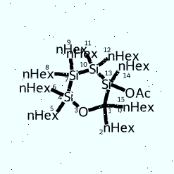 CCCCCCC1(CCCCCC)O[Si](CCCCCC)(CCCCCC)[Si](CCCCCC)(CCCCCC)[Si](CCCCCC)(CCCCCC)[Si]1(CCCCCC)OC(C)=O